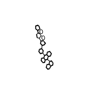 C1=CC2c3cc(-c4cccc(-c5c6ccccc6c(-c6cccc7ccccc67)c6ccccc56)c4)ccc3OC2c2oc3ccccc3c21